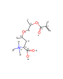 C=C(C)C(=O)OC(C)COC(C)CC(C(=O)[O-])[N+](C)(C)C